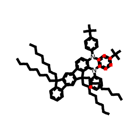 CCCCCCCCC1(CCCCCCCC)c2ccccc2-c2cc3c(cc21)-c1ccc(N(c2ccccc2)c2ccc(C(C)(C)C)cc2)c(N(c2ccccc2)c2ccc(C(C)(C)C)cc2)c1C3(CCCCCCCC)CCCCCCCC